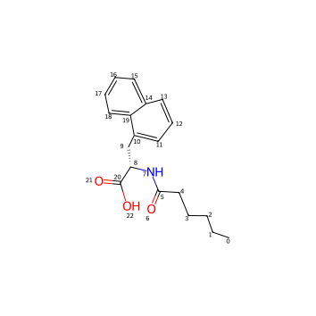 CCCCCC(=O)N[C@@H](Cc1cccc2ccccc12)C(=O)O